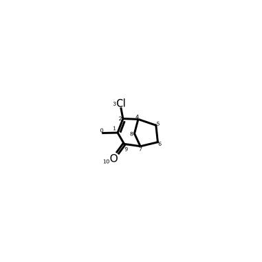 CC1=C(Cl)C2CCC(C2)C1=O